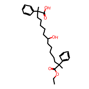 CCOC(=O)C(C)(CCCCCC(O)CCCCCC(C)(C(=O)O)c1ccccc1)c1ccccc1